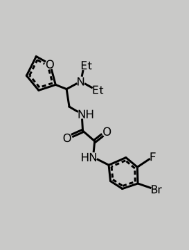 CCN(CC)C(CNC(=O)C(=O)Nc1ccc(Br)c(F)c1)c1ccco1